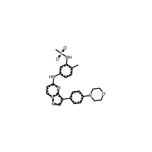 Cc1ccc(Nc2ccn3ncc(-c4ccc(N5CCOCC5)cc4)c3n2)cc1NS(C)(=O)=O